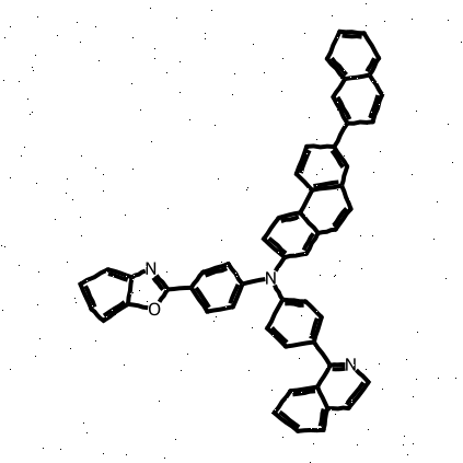 c1ccc2cc(-c3ccc4c(ccc5cc(N(c6ccc(-c7nc8ccccc8o7)cc6)c6ccc(-c7nccc8ccccc78)cc6)ccc54)c3)ccc2c1